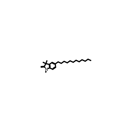 C=C1N(C)c2ccc(CCCCCCCCCCCC)cc2C1(C)C